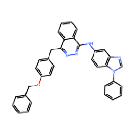 c1ccc(COc2ccc(Cc3nnc(Nc4ccc5c(c4)ncn5-c4ccccc4)c4ccccc34)cc2)cc1